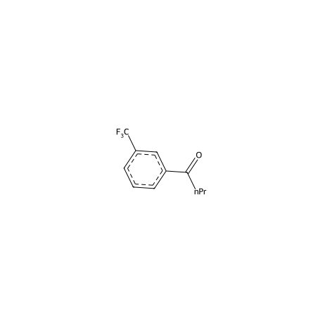 CCCC(=O)c1cccc(C(F)(F)F)c1